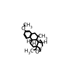 CCC12CC[C@@H]3c4ccc(OC)cc4C[C@@H](C)[C@H]3[C@]13C[C@H]3C[C@@]21CO1